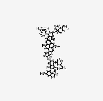 C#Cc1c(F)ccc2cc(O)cc(-c3ccc4c(N5CCOCC(C)C5)nc(OCC56CCCN5C(c5cc(F)c(C#C)c7c(-c8ccc9c(N%10CCOCC(C)(O)C%10)nc(OCC%10%11CCCC%10N(C)CCC%11)nc9c8F)cc(O)cc57)C(F)C6)nc4c3F)c12